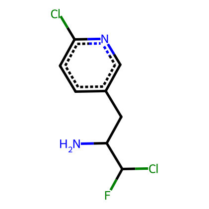 NC(Cc1ccc(Cl)nc1)C(F)Cl